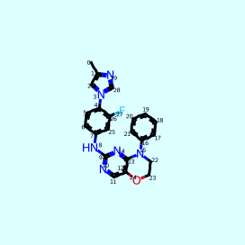 Cc1cn(-c2ccc(Nc3ncc4c(n3)N(c3ccccc3)CCO4)cc2F)cn1